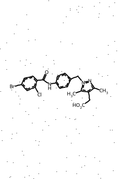 Cc1nn(Cc2ccc(NC(=O)c3ccc(Br)cc3Cl)cc2)c(C)c1CC(=O)O